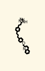 c1ccc2nc(COc3ccc(CCCc4ccc(CCc5nnn[nH]5)cc4)cc3)ccc2c1